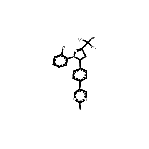 OC(C1=NN(c2ccccc2Cl)C(c2ccc(-c3cnc(Cl)nc3)cc2)C1)(C(F)(F)F)C(F)(F)F